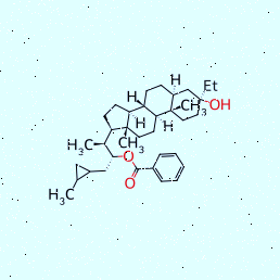 CC[C@]1(O)CC[C@@]2(C)[C@@H](CC[C@@H]3[C@@H]2CC[C@]2(C)[C@@H]([C@H](C)[C@@H](CC4CC4C)OC(=O)c4ccccc4)CC[C@@H]32)C1